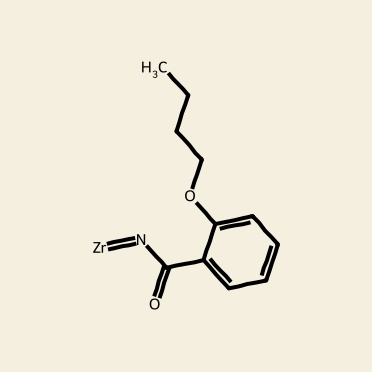 CCCCOc1ccccc1C(=O)[N]=[Zr]